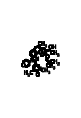 Cc1cc(-c2nc3cc(CC(C)[C@H](C)C[C@H](C(=O)OCC(C)C)[C@@H](C)O)ccc3n2C2CCOCC2)cn(C)c1=O